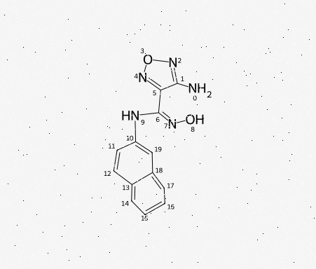 Nc1nonc1C(=NO)Nc1ccc2ccccc2c1